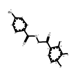 CCC(C)c1ccc(C(=O)OCC(=O)c2ccc(C)c(C)c2C)cc1